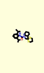 CC(C)c1cccc(C(C)C)c1NC(=O)NCC1(C2CCCCC2)SCCCS1